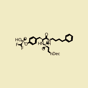 CCCCCCCCCCCCS(=O)(=O)N[C@@H](Cc1ccc(OP(=O)(O)C(F)F)cc1)C(=O)NCCCCc1ccccc1